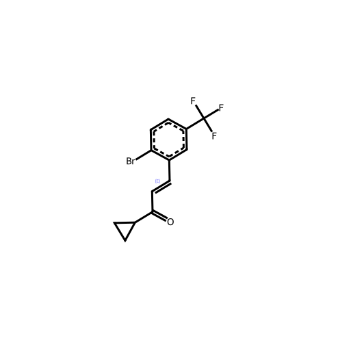 O=C(/C=C/c1cc(C(F)(F)F)ccc1Br)C1CC1